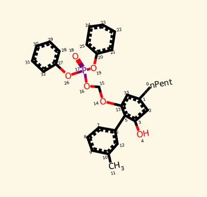 CCCCCc1cc(O)c(-c2cccc(C)c2)c(OCOP(=O)(Oc2ccccc2)Oc2ccccc2)c1